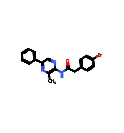 Cc1nc(-c2ccccc2)cnc1NC(=O)Cc1ccc(Br)cc1